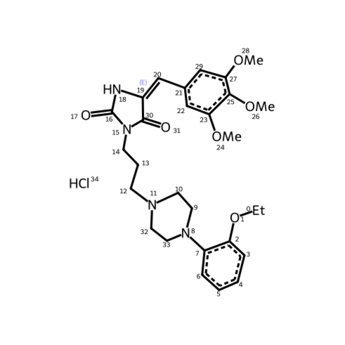 CCOc1ccccc1N1CCN(CCCN2C(=O)N/C(=C/c3cc(OC)c(OC)c(OC)c3)C2=O)CC1.Cl